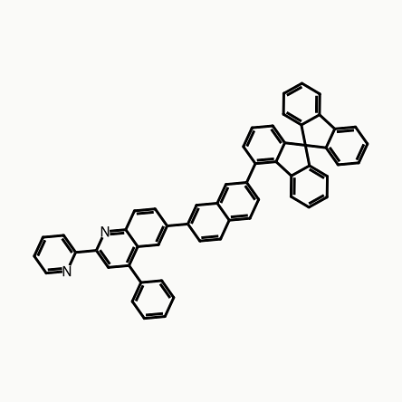 c1ccc(-c2cc(-c3ccccn3)nc3ccc(-c4ccc5ccc(-c6cccc7c6-c6ccccc6C76c7ccccc7-c7ccccc76)cc5c4)cc23)cc1